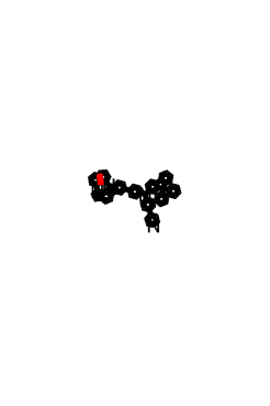 c1ccc(-n2ccc3ccc4c5cc(-c6ccc(N(c7ccc(-c8ccncc8)cc7)c7ccc8c(c7)C(c7ccccc7)(c7ccccc7)c7ccccc7-8)cc6)ccc5n(-c5ccccc5)c4c32)cc1